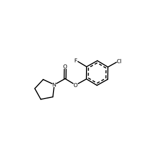 O=C(Oc1ccc(Cl)cc1F)N1CCCC1